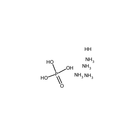 N.N.N.N.O=P(O)(O)O.[HH]